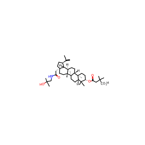 C=C(C)[C@@H]1CC[C@]2(CC(=O)NCC(C)(C)O)CC[C@]3(C)[C@H](CC[C@@H]4[C@@]5(C)CC[C@H](OC(=O)CC(C)(C)C(=O)O)C(C)(C)[C@@H]5CC[C@]43C)[C@@H]12